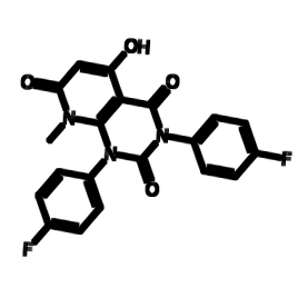 Cn1c(=O)cc(O)c2c(=O)n(-c3ccc(F)cc3)c(=O)n(-c3ccc(F)cc3)c21